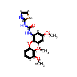 COc1ccc(Oc2cccc(OC)c2OC)c(NC(=O)Nc2nccs2)c1